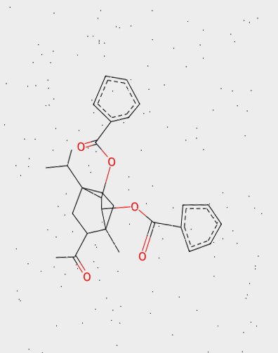 CC(=O)C1CC2(C(C)C)CCC1(C)C(OC(=O)c1ccccc1)C2OC(=O)c1ccccc1